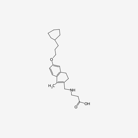 CC1=C(CNCCC(=O)O)CCc2cc(OCCCC3CCCCC3)ccc21